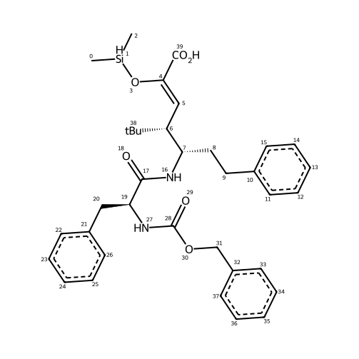 C[SiH](C)OC(=C[C@H]([C@H](CCc1ccccc1)NC(=O)[C@H](Cc1ccccc1)NC(=O)OCc1ccccc1)C(C)(C)C)C(=O)O